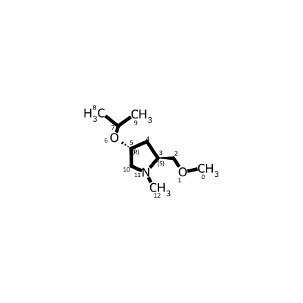 COC[C@@H]1C[C@@H](OC(C)C)CN1C